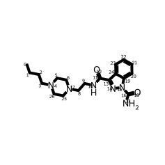 CCCCN1CCN(CCNC(=O)c2nn(C(N)=O)c3ccccc23)CC1